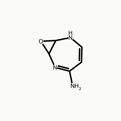 NC1=NC2OC2NC=C1